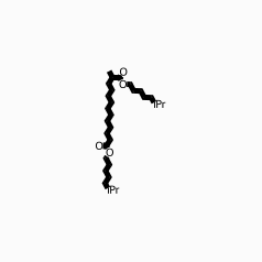 CC(C)CCCCCOC(=O)CCCCCCCCCCC(C)C(=O)OCCCCCC(C)C